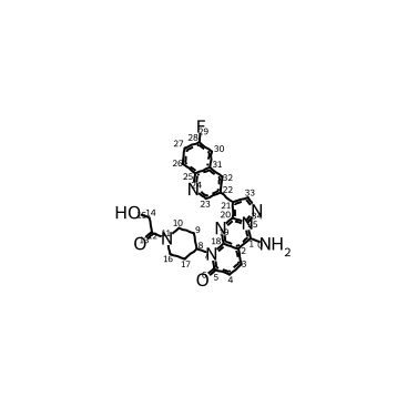 Nc1c2ccc(=O)n(C3CCN(C(=O)CO)CC3)c2nc2c(-c3cnc4ccc(F)cc4c3)cnn12